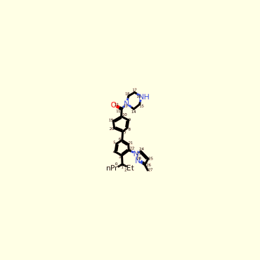 CCCC(CC)c1ccc(-c2ccc(C(=O)N3CCNCC3)cc2)cc1-n1ccc(C)n1